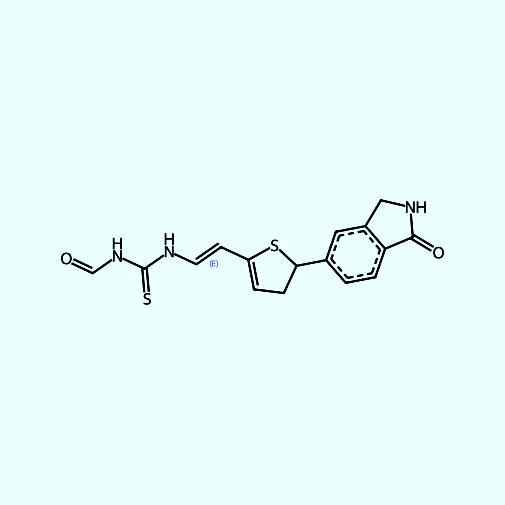 O=CNC(=S)N/C=C/C1=CCC(c2ccc3c(c2)CNC3=O)S1